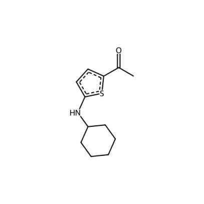 CC(=O)c1ccc(NC2CCCCC2)s1